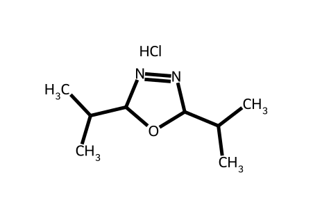 CC(C)C1N=NC(C(C)C)O1.Cl